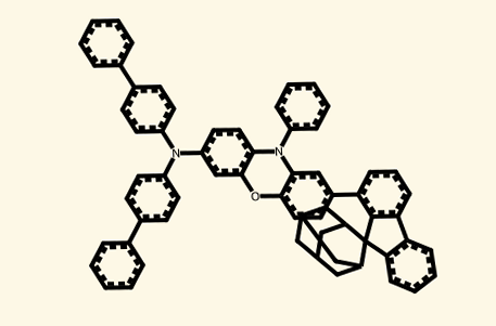 c1ccc(-c2ccc(N(c3ccc(-c4ccccc4)cc3)c3ccc4c(c3)Oc3ccc(-c5cccc6c5C5(c7ccccc7-6)C6CC7CC(C6)CC5C7)cc3N4c3ccccc3)cc2)cc1